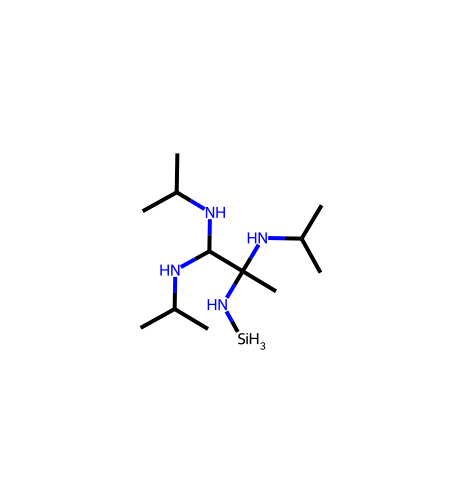 CC(C)NC(NC(C)C)C(C)(N[SiH3])NC(C)C